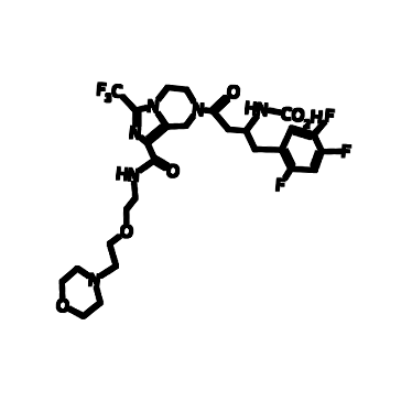 O=C(O)NC(CC(=O)N1CCn2c(C(F)(F)F)nc(C(=O)NCCOCCN3CCOCC3)c2C1)Cc1cc(F)c(F)cc1F